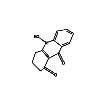 O=C1CCCc2c1c(=O)c1ccccc1n2O